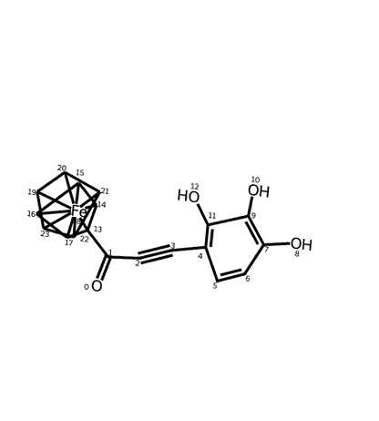 O=C(C#Cc1ccc(O)c(O)c1O)[C]12[CH]3[CH]4[CH]5[CH]1[Fe]45321678[CH]2[CH]1[CH]6[CH]7[CH]28